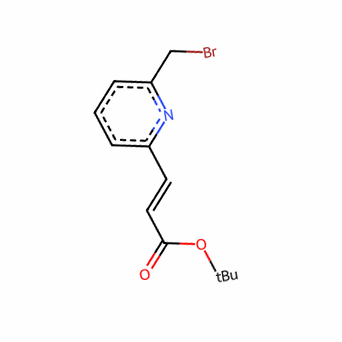 CC(C)(C)OC(=O)C=Cc1cccc(CBr)n1